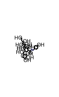 O=C(/C=C/c1ccc(O)cc1)C1=C(O)C(O)([C@@H](O)C(O)[C@H](O)[C@@H](O)CCO)C(O)=C(C(O)C2OCC(O)C(O)C2O)C1